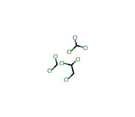 ClC(Cl)Cl.ClCC(Cl)Cl.ClCCl